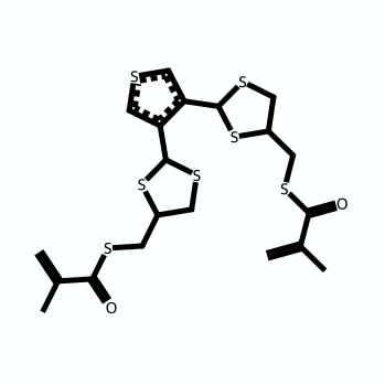 C=C(C)C(=O)SCC1CSC(c2cscc2C2SCC(CSC(=O)C(=C)C)S2)S1